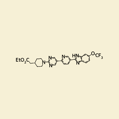 CCOC(=O)CC1CCN(c2ncc(-c3ccc(-c4nc5ccc(OC(F)(F)F)cc5[nH]4)cn3)cn2)CC1